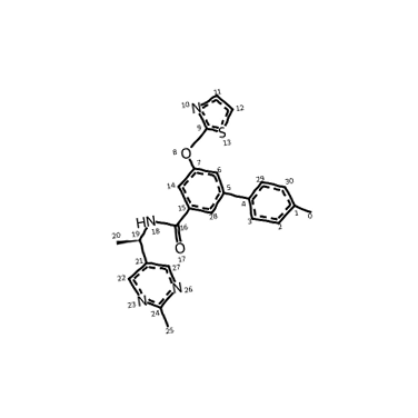 Cc1ccc(-c2cc(Oc3nccs3)cc(C(=O)N[C@H](C)c3cnc(C)nc3)c2)cc1